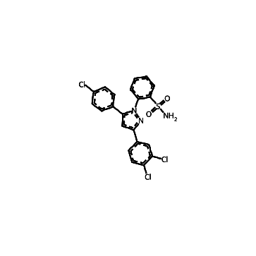 NS(=O)(=O)c1ccccc1-n1nc(-c2ccc(Cl)c(Cl)c2)cc1-c1ccc(Cl)cc1